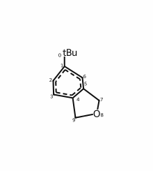 CC(C)(C)c1ccc2c(c1)COC2